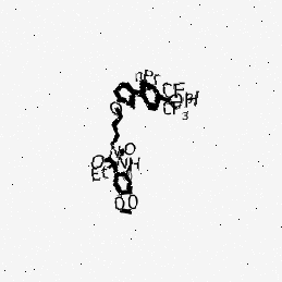 CCCc1cc(C(O)(C(F)(F)F)C(F)(F)F)ccc1-c1cccc(OCCCCN2C(=O)NC(CC)(C3C=C4OCCOC4=C[C@@H]3I)C2=O)c1